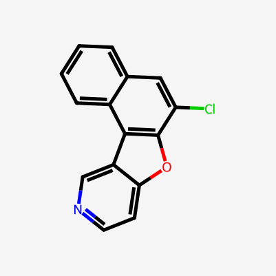 Clc1cc2ccccc2c2c1oc1ccncc12